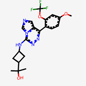 COc1ccc(-c2nnc(NC3CC(C(C)(C)O)C3)n3cncc23)c(OC(F)(F)F)c1